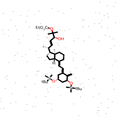 C=C1/C(=C/C=C2\CCC[C@]3(C)[C@@H]([C@H](C)/C=C/[C@H](O)C(C)(C)OC(=O)OCC)CC[C@@H]23)C[C@@H](O[Si](C)(C)C(C)(C)C)C[C@@H]1O[Si](C)(C)C(C)(C)C